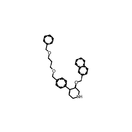 c1ccc(COCCCOCc2ccc(C3CCNCC3OCc3ccc4ccccc4c3)cc2)cc1